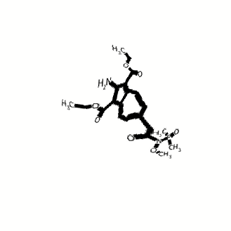 CCOC(=O)c1c2ccc(CC(=O)N(OC)P(C)(C)=O)ccc-2c(C(=O)OCC)c1N